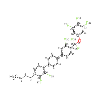 C=CCCc1ccc(-c2ccc(-c3ccc(C(F)(F)Oc4cc(F)c(F)c(F)c4)c(F)c3)cc2)c(F)c1F